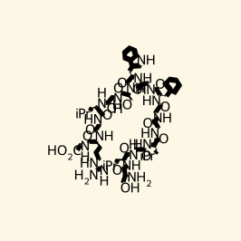 CC(C)C[C@H](NC(=O)CNC(=O)[C@H](CO)NC(=O)[C@H](Cc1c[nH]c2ccccc12)NC(=O)CNC(=O)[C@H](Cc1ccccc1)NC(=O)CNC(=O)CNC(=O)[C@H](CC(C)C)NC(=O)CNC(=O)[C@H](CC(C)C)NC(=O)[C@@H](N)CO)C(=O)NCC(=O)N[C@@H](CCCNC(=N)N)C(=O)NCC(=O)O